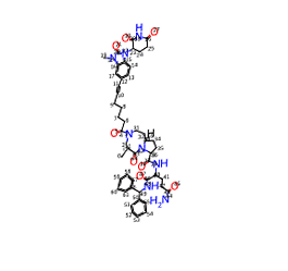 C[C@H]1CN(C(=O)CCCCC#Cc2ccc3c(c2)n(C)c(=O)n3C2CCC(=O)NC2=O)CC[C@H]2CC[C@@H](C(=O)N[C@@H](CCC(N)=O)C(=O)NC(c3ccccc3)c3ccccc3)N2C1=O